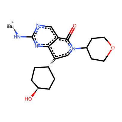 CC[C@H](C)Nc1ncc2c(=O)n(C3CCOCC3)cc([C@H]3CC[C@H](O)CC3)c2n1